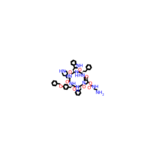 NCCNC(=O)O[C@@H]1C[C@H]2C(=O)N[C@@H](CCc3ccccc3)C(=O)N[C@H](Cc3c[nH]c4ccccc34)C(=O)N[C@@H](CC3CCNCC3)C(=O)N[C@@H](Cc3ccc(OCc4ccccc4)cc3)C(=O)N[C@@H](Cc3ccccc3)C(=O)N2C1